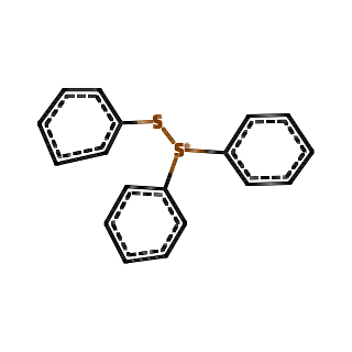 c1ccc(S[S+](c2ccccc2)c2ccccc2)cc1